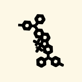 Cc1ccc(N(c2ccccc2)c2ccc3c(c2)C([Si](C)(C)C)([Si](C)(C)C)c2c-3ccc3cc(N(c4ccccc4)c4ccc(C)cc4)ccc23)cc1